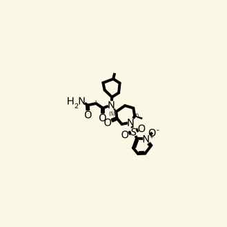 CC1CCC(N(C(=O)[CH]C(N)=O)[C@H]2CC[C@@H](C)N(S(=O)(=O)c3cccc[n+]3[O-])CC2=O)CC1